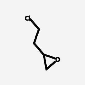 ClCCC1CO1